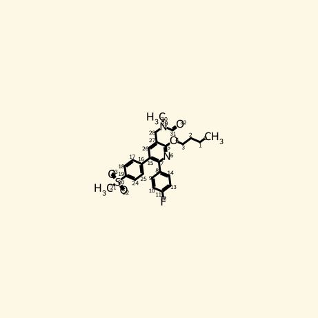 CCCCOc1nc(-c2ccc(F)cc2)c(-c2ccc(S(C)(=O)=O)cc2)cc1CN(C)C=O